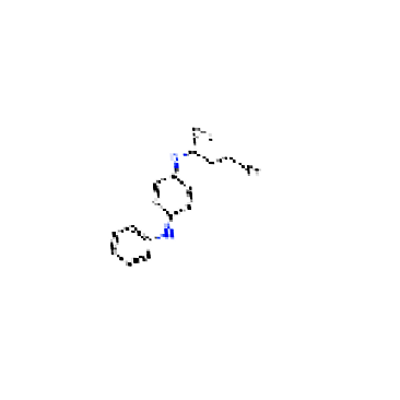 CC(C)CCC(C)N=C1C=CC(=Nc2ccccc2)C=C1